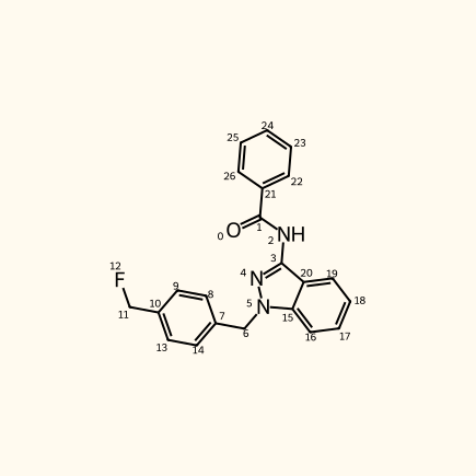 O=C(Nc1nn(Cc2ccc(CF)cc2)c2ccccc12)c1ccccc1